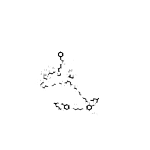 C=C1C[C@H]2CN(C(=O)CCOCCOCCNC(=O)C3SC(C)(CCC)C(CC)(CBN)SC3C(=O)NCCOCCOCCC(=O)N(C)[C@H](C(=O)N[C@H](C(=O)N(C)[C@@H]([C@@H](C)CC)[C@@H](CC(=O)N3CCC[C@H]3[C@H](OC)[C@@H](C)C(=O)N[C@@H](Cc3ccccc3)C(=O)O)OC)C(C)C)C(C)C)c3cc(OCCCCCOc4cc5c(cc4OC)C(=O)N4CC(=C)C[C@H]4C=N5)c(OC)cc3C(=O)N2C1